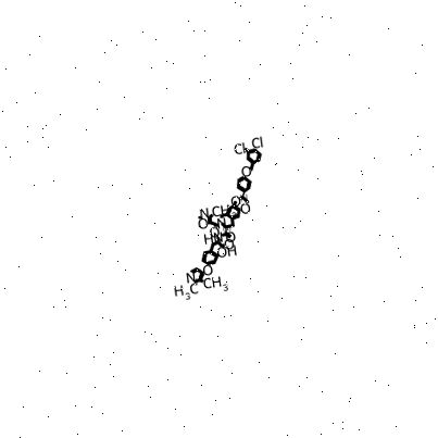 Cc1ncoc1C(=O)N1Cc2cc3c(cc2C[C@H]1C(=O)NC(Cc1ccc(Oc2ccnc(C)c2C)cc1)C(=O)O)OC[C@H](c1ccc(OCc2ccc(Cl)c(Cl)c2)cc1)O3